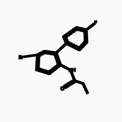 CCC(=O)Nc1ccc(Br)cc1-c1ccc(F)cc1